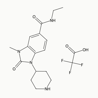 CCNC(=O)c1ccc2c(c1)n(C)c(=O)n2C1CCNCC1.O=C(O)C(F)(F)F